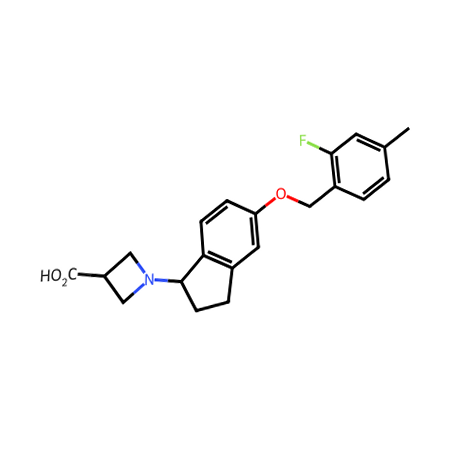 Cc1ccc(COc2ccc3c(c2)CCC3N2CC(C(=O)O)C2)c(F)c1